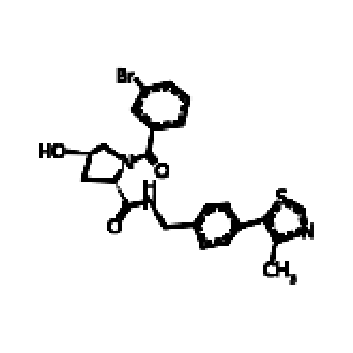 Cc1ncsc1-c1ccc(CNC(=O)[C@@H]2C[C@@H](O)CN2C(=O)c2cccc(Br)c2)cc1